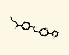 CCCC(=O)c1ccc(NCc2ccc(-c3cccs3)nc2)cc1